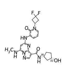 CNc1cc(Nc2cccn(C3CC(F)(F)C3)c2=O)nc2c(C(=O)N[C@@H]3CC[C@H](O)C3)cnn12